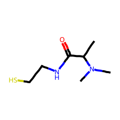 CC(C(=O)NCCS)N(C)C